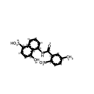 Cc1ccc([N+](=O)[O-])c(C(=O)Nc2cccc3c(S(=O)(=O)O)ccc(O)c23)c1